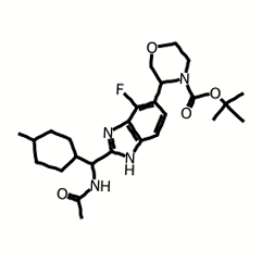 CC(=O)NC(c1nc2c(F)c(C3COCCN3C(=O)OC(C)(C)C)ccc2[nH]1)C1CCC(C)CC1